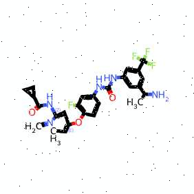 C=N/C(=C\C(=C/C)Oc1ccc(NC(=O)Nc2cc(C(C)N)cc(C(F)(F)F)c2)cc1F)NC(=O)C1CC1